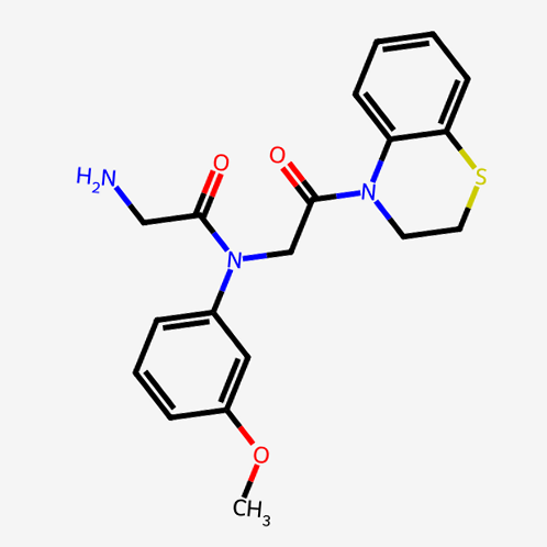 COc1cccc(N(CC(=O)N2CCSc3ccccc32)C(=O)CN)c1